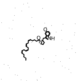 CCCC/C=C\C/C=C\C/C=C\C/C=C\CCCC(=O)N1CCCC1Cc1c[nH]c2ccc(OC)cc12